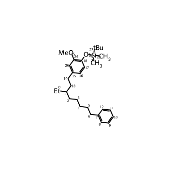 CCC(CCCCCc1ccccc1)CCc1ccc(O[Si](C)(C)C(C)(C)C)c(OC)c1